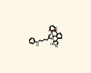 NC(=O)c1cccc(-c2cn[nH]c2)c1-c1nc(CCCCNc2ccccc2)cn1-c1ccccc1